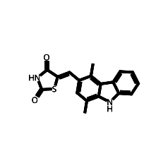 Cc1cc(/C=C2\SC(=O)NC2=O)c(C)c2c1[nH]c1ccccc12